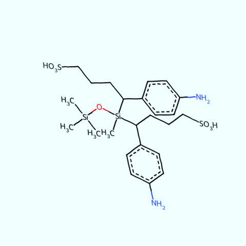 C[Si](C)(C)O[Si](C)(C(CCCS(=O)(=O)O)c1ccc(N)cc1)C(CCCS(=O)(=O)O)c1ccc(N)cc1